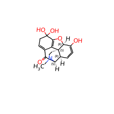 CN1CC[C@]23C4=C5O[C@H]2C(O)=C=C[C@H]3[C@H]1C(=O)C4=CCC5(O)O